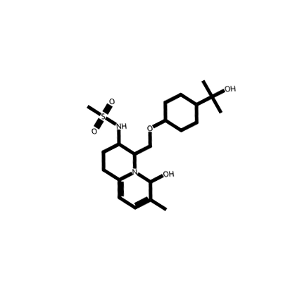 CC1=CC=C2CCC(NS(C)(=O)=O)C(COC3CCC(C(C)(C)O)CC3)N2C1O